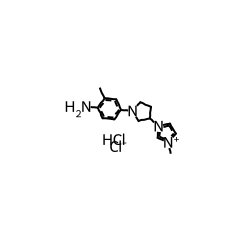 Cc1cc(N2CCC(n3cc[n+](C)c3)C2)ccc1N.Cl.[Cl-]